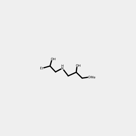 CCC(O)CNCC(O)COC